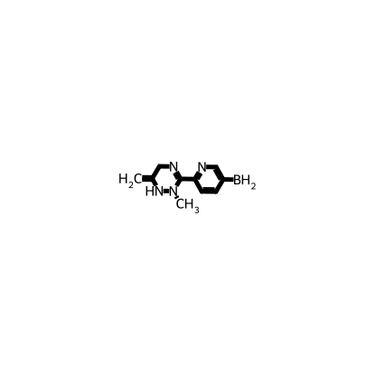 Bc1ccc(C2=NCC(=C)NN2C)nc1